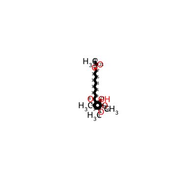 COc1cc(C)c(C(=O)CCCCCCCCCOC(C)=O)c(O)c1OC